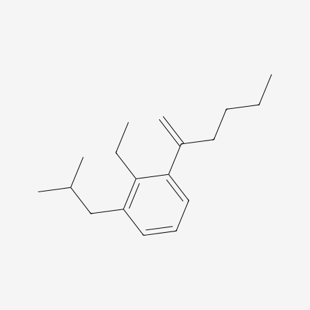 C=C(CCCC)c1cccc(CC(C)C)c1CC